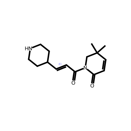 CC1(C)C=CC(=O)N(C(=O)/C=C/C2CCNCC2)C1